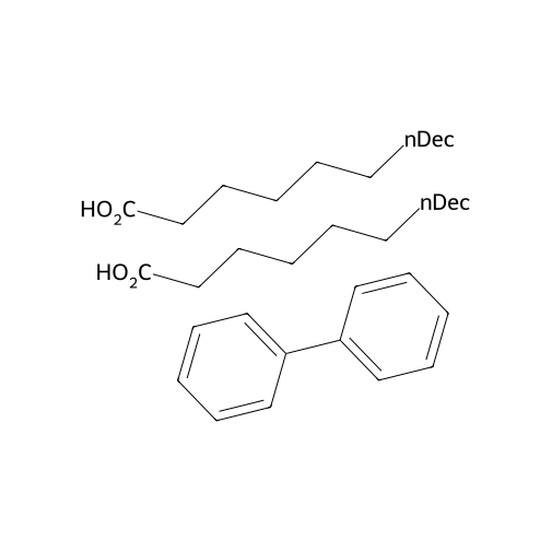 CCCCCCCCCCCCCCCC(=O)O.CCCCCCCCCCCCCCCC(=O)O.c1ccc(-c2ccccc2)cc1